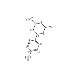 CCCC1CC(C)CC(c2ccc(O)cc2)C1